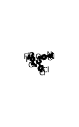 COc1ccc(C(=O)N(C)C2CN(C(=O)c3ccc(-c4nc(C)no4)cc3)CC2c2ccc(Cl)c(Cl)c2)cc1C(F)(F)F